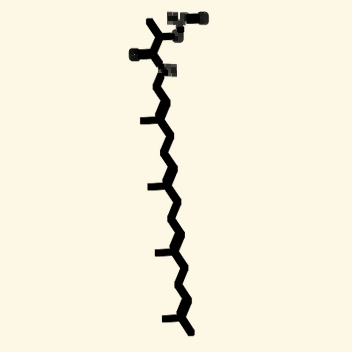 CC(C)=CCC/C(C)=C/CC/C(C)=C/CC/C(C)=C/CNC(=O)C(C)O[PH2]=O